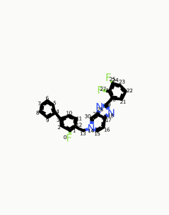 Fc1cc(-c2ccccc2)ccc1Cn1ccc2nc(-c3cccc(F)c3F)nc-2c1